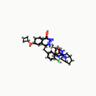 O=C(c1cc(Cc2n[nH]c(=O)c3ccc(OC4CCC4)cc23)ccc1F)N1CC2CCC(C1)N2c1ncc(C(F)(F)F)cn1